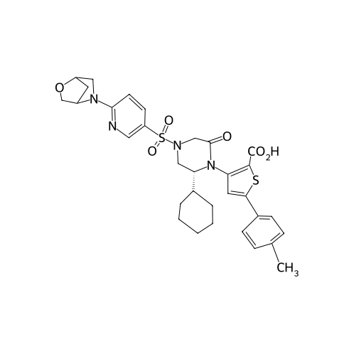 Cc1ccc(-c2cc(N3C(=O)CN(S(=O)(=O)c4ccc(N5CC6CC5CO6)nc4)C[C@H]3C3CCCCC3)c(C(=O)O)s2)cc1